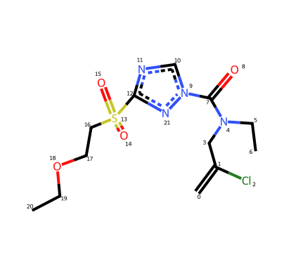 C=C(Cl)CN(CC)C(=O)n1cnc(S(=O)(=O)CCOCC)n1